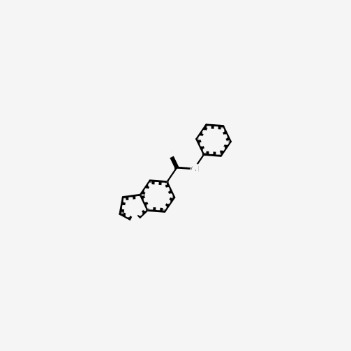 O=C(Nc1ccccc1)c1ccc2occc2c1